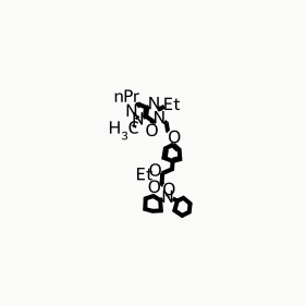 CCCc1nn(C)c2c(=O)n(CCOc3ccc(CC(OCC)C(=O)ON(C4CCCCC4)C4CCCCC4)cc3)c(CC)nc12